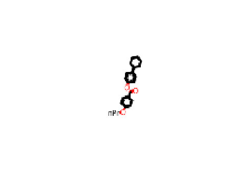 CCCOc1ccc(C(=O)Oc2ccc(C3CC[CH]CC3)cc2)cc1